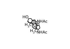 CC(=O)NC1C=C2CC(O)C=C[C@]2(C)[C@@H]2CC[C@]3(C)C(NC(C)=O)CC[C@H]3[C@H]12